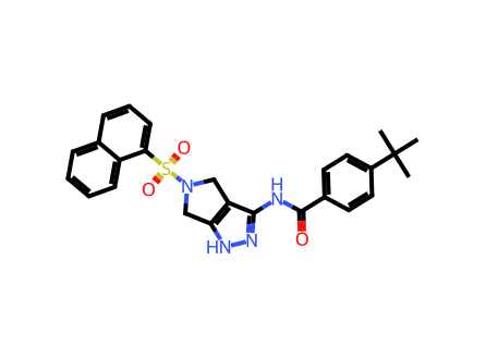 CC(C)(C)c1ccc(C(=O)Nc2n[nH]c3c2CN(S(=O)(=O)c2cccc4ccccc24)C3)cc1